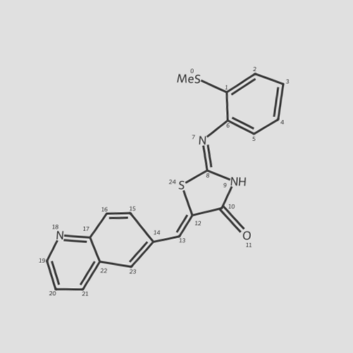 CSc1ccccc1/N=C1\NC(=O)/C(=C/c2ccc3ncccc3c2)S1